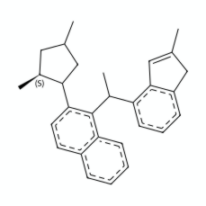 CC1=Cc2c(cccc2C(C)c2c(C3CC(C)C[C@@H]3C)ccc3ccccc23)C1